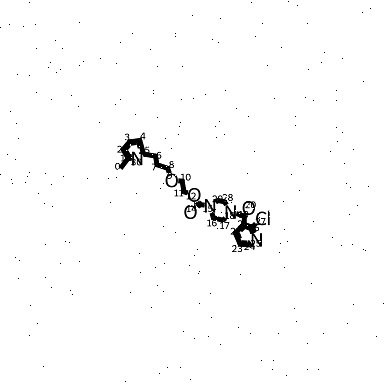 Cc1cccc(CCCOCCOC(=O)N2CCN(C(=O)c3cccnc3Cl)CC2)n1